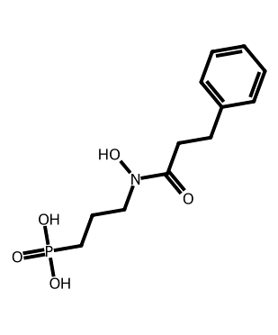 O=C(CCc1ccccc1)N(O)CCCP(=O)(O)O